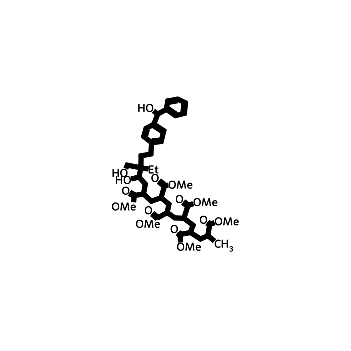 CCC(CO)(CCc1ccc(C(O)c2ccccc2)cc1)C(O)CC(CC(CC(CC(CC(CC(C)C(=O)OC)C(=O)OC)C(=O)OC)C(=O)OC)C(=O)OC)C(=O)OC